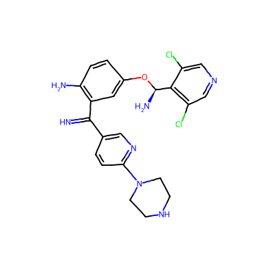 N=C(c1ccc(N2CCNCC2)nc1)c1cc(O[C@H](N)c2c(Cl)cncc2Cl)ccc1N